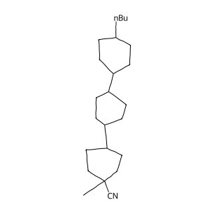 CCCCC1CCC(C2CCC(C3CCC(C)(C#N)CC3)CC2)CC1